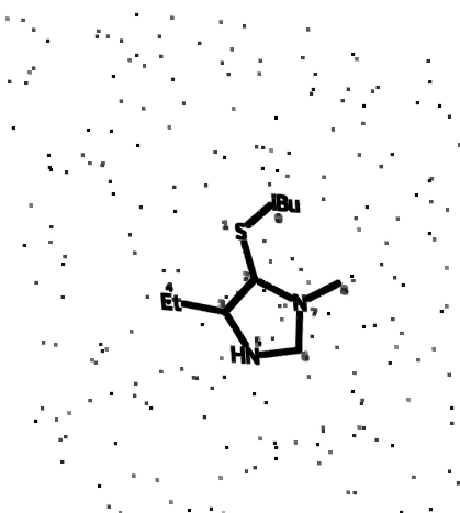 CCC(C)SC1C(CC)NCN1C